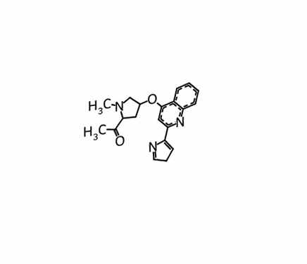 CC(=O)C1CC(Oc2cc(C3=CCC=N3)nc3ccccc23)CN1C